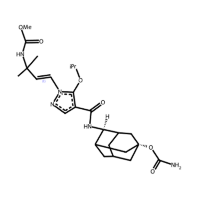 COC(=O)NC(C)(C)/C=C/n1ncc(C(=O)N[C@H]2C3CC4CC2C[C@](OC(N)=O)(C4)C3)c1OC(C)C